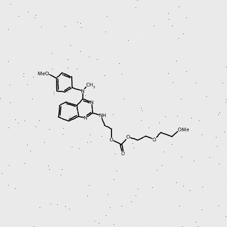 COCCOCCOC(=O)OCCNc1nc(N(C)c2ccc(OC)cc2)c2ccccc2n1